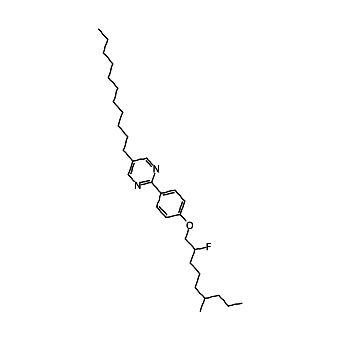 CCCCCCCCCCCc1cnc(-c2ccc(OCC(F)CCCC(C)CCC)cc2)nc1